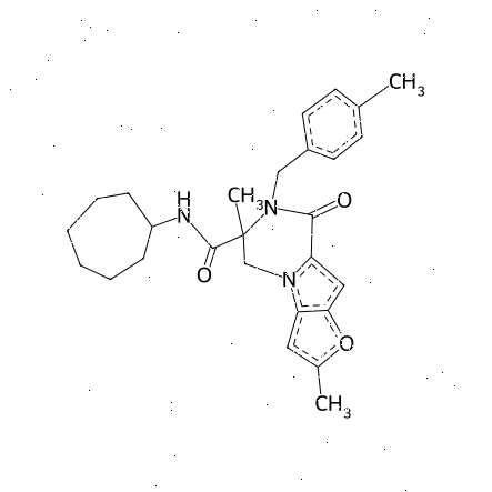 Cc1ccc(CN2C(=O)c3cc4oc(C)cc4n3CC2(C)C(=O)NC2CCCCCC2)cc1